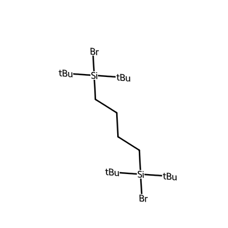 CC(C)(C)[Si](Br)(CCCC[Si](Br)(C(C)(C)C)C(C)(C)C)C(C)(C)C